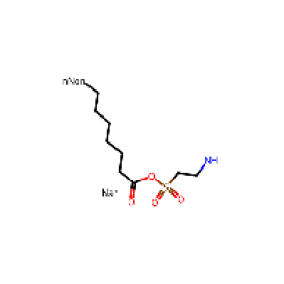 CCCCCCCCCCCCCCCC(=O)OS(=O)(=O)CC[NH-].[Na+]